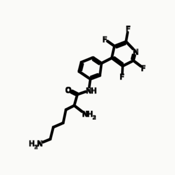 NCCCCC(N)C(=O)Nc1cccc(-c2c(F)c(F)nc(F)c2F)c1